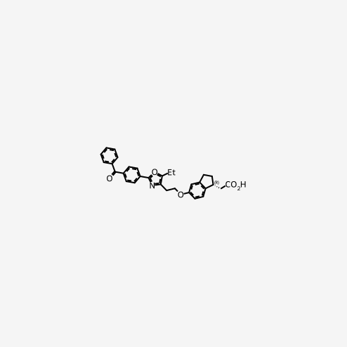 CCc1oc(-c2ccc(C(=O)c3ccccc3)cc2)nc1CCOc1ccc2c(c1)CC[C@@H]2CC(=O)O